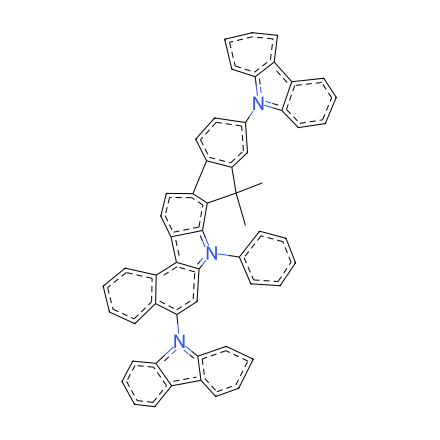 CC1(C)c2cc(-n3c4ccccc4c4ccccc43)ccc2-c2ccc3c4c5ccccc5c(-n5c6ccccc6c6ccccc65)cc4n(-c4ccccc4)c3c21